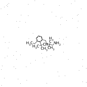 CCc1cccc(CCC(C)(C)CN)c1C(C)(C)C